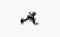 CCCc1ccc(NC(=O)[C@H](CCCNC(N)=O)NC(=O)[C@@H](NC(=O)COCCOCCN2C(=O)C=CC2=O)C(C)C)cc1